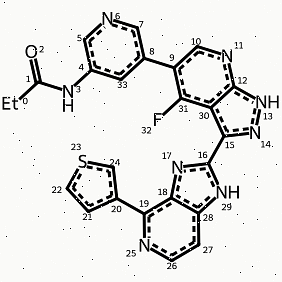 CCC(=O)Nc1cncc(-c2cnc3[nH]nc(-c4nc5c(-c6ccsc6)nccc5[nH]4)c3c2F)c1